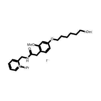 CCCCCCCCCCCCCCCCOc1ccc(CC(=O)NCc2cccc[n+]2CCC)c(OC)c1.[I-]